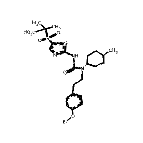 CCOc1ccc(CCN(C(=O)Nc2ncc(S(=O)(=O)C(C)(C)C(=O)O)s2)[C@H]2CC[C@H](C)CC2)cc1